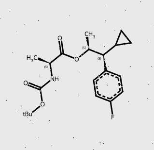 C[C@H](NC(=O)OC(C)(C)C)C(=O)O[C@@H](C)[C@H](c1ccc(F)cc1)C1CC1